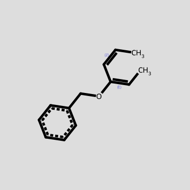 C/C=C\C(=C/C)OCc1ccccc1